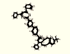 CC(C)(C)c1ccc2c(n1)Cc1nc(-c3ccc(-c4ccc(-c5nc(-c6ccccc6)cc(-c6ccccc6)n5)cc4)cc3)cc(-c3ccccc3)c1C=C2